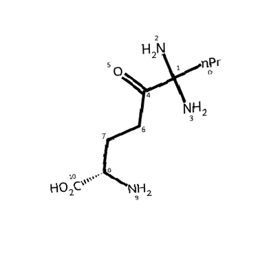 CCCC(N)(N)C(=O)CC[C@H](N)C(=O)O